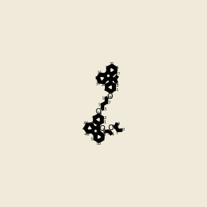 CCC(C)OC(C)COC1(c2ccc(OCCCCOc3ccc(C4(C(C)C)c5ccccc5-c5ccccc54)cc3)cc2)c2ccccc2-c2ccccc21